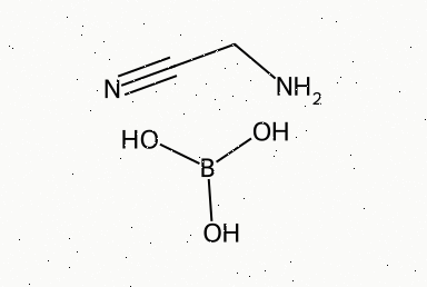 N#CCN.OB(O)O